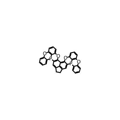 c1ccc2c(c1)Oc1cccc3oc4c5c6c(cc4p-2c13)CCc6cc1c5oc2cccc3c2p1-c1ccccc1O3